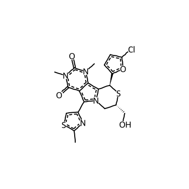 Cc1nc(-c2c3c(=O)n(C)c(=O)n(C)c3c3n2C[C@@H](CO)S[C@@H]3c2ccc(Cl)o2)cs1